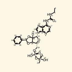 CCNC(=O)Nc1ncnc2c1ncn2[C@@H]1O[C@H](COP(=O)(O)OP(C)(=O)O)C2O[C@@H](c3ccccc3)O[C@@H]21